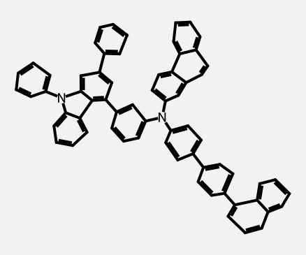 c1ccc(-c2cc(-c3cccc(N(c4ccc(-c5ccc(-c6cccc7ccccc67)cc5)cc4)c4ccc5c(ccc6ccccc65)c4)c3)c3c4ccccc4n(-c4ccccc4)c3c2)cc1